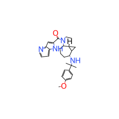 CCN(C(=O)c1cc2ncccc2[nH]1)C1CCC[C@@H](NC(C)(C)c2ccc(OC)cc2)C2C[C@H]21